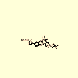 C=C(Nc1cc2cc(-c3cnc(NC)s3)ccc2cn1)c1ccnc(N2CC(N(C)C)C2)c1